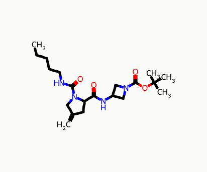 C=C1CC(C(=O)NC2CN(C(=O)OC(C)(C)C)C2)N(C(=O)NCCCCC)C1